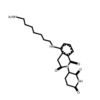 CC(=O)NCCCCCCCNc1cccc2c1CC(=O)N(C1CCC(=O)NC1=O)C2=O